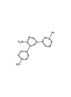 CC(=O)c1cccc(-c2cnc(N)c(-c3ccc(O)cc3)c2)c1